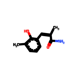 CC(=Cc1cccc(C)c1O)C(N)=O